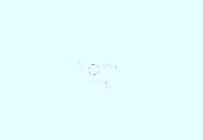 CCCCOC(=O)NC(CC(=O)O)c1ccc(OC(=O)OC(C)(C)C)cc1